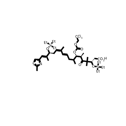 CC[Si](CC)(CC)O[C@@H](C/C=C(/C)C=CCC(C)[C@H](OC(=O)OCC(Cl)(Cl)Cl)[C@@H](C)C(=O)C(C)(C)[C@H](CC(=O)O)O[Si](CC)(CC)CC)/C(C)=C/c1csc(C)n1